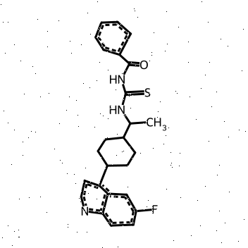 CC(NC(=S)NC(=O)c1ccccc1)C1CCC(c2ccnc3ccc(F)cc23)CC1